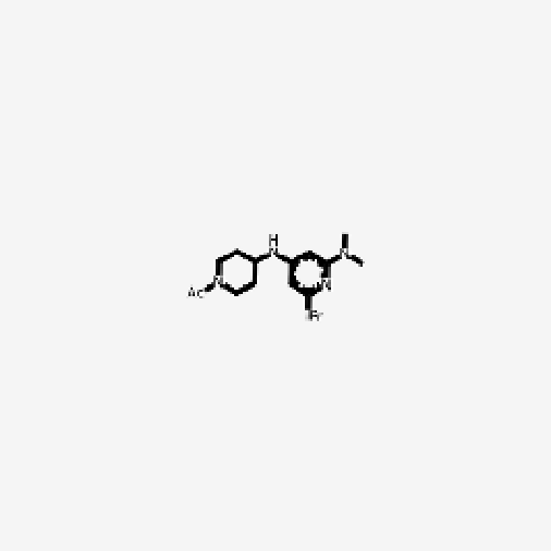 CC(=O)N1CCC(Nc2cc(C(C)C)nc(N(C)C)c2)CC1